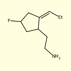 CC/C=C1/CC(F)CC1CCN